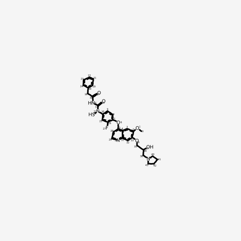 COc1cc2c(Oc3ccc(N(S)C(=O)NC(=O)Cc4ccccc4)cc3F)ccnc2cc1OCC(O)CN1CCCC1